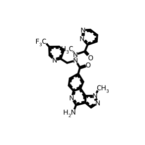 CN(C(=O)c1cccnn1)N(Cc1ccc(C(F)(F)F)cn1)C(=O)c1ccc2nc(N)c3cnn(C)c3c2c1